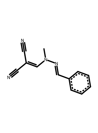 CN(C=C(C#N)C#N)/N=C/c1ccccc1